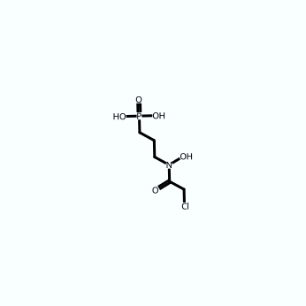 O=C(CCl)N(O)CCCP(=O)(O)O